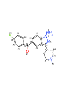 CN1CCC(c2nn(N)c3ccc(C(=O)c4ccc(F)cc4)cc23)CC1